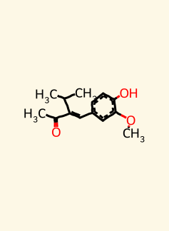 COc1cc(/C=C(/C(C)=O)C(C)C)ccc1O